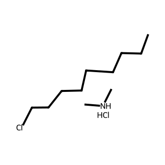 CCCCCCCCCCl.CNC.Cl